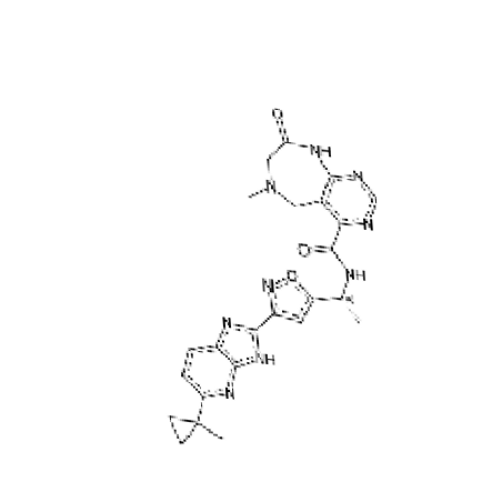 C[C@@H](NC(=O)c1ncnc2c1CN(C)CC(=O)N2)c1cc(-c2nc3ccc(C4(C)CC4)nc3[nH]2)no1